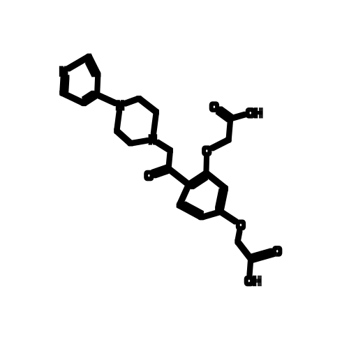 O=C(O)COc1ccc(C(=O)CN2CCN(c3ccncc3)CC2)c(OCC(=O)O)c1